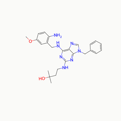 COc1ccc(N)c(CNc2nc(NCCC(C)(C)O)nc3c2ncn3Cc2ccccc2)c1